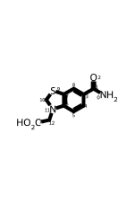 NC(=O)c1ccc2c(c1)SCN2CC(=O)O